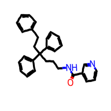 O=C(NCCCC(CCc1ccccc1)(c1ccccc1)c1ccccc1)c1cccnc1